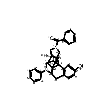 O=C(c1ccccc1)N1C[C@H]2CC34CCC1C2C31CCN(c2ccccc2)C4Cc2ccc(O)cc21